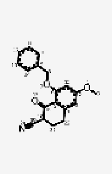 COc1cc2c(c(OCc3ccccc3)c1)C(=O)C(C#N)CC2